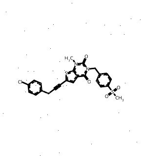 Cn1c(=O)n(Cc2ccc(S(C)(=O)=O)cc2)c(=O)c2cc(C#CCc3ccc(Cl)cc3)sc21